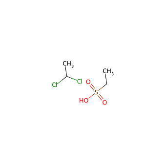 CC(Cl)Cl.CCS(=O)(=O)O